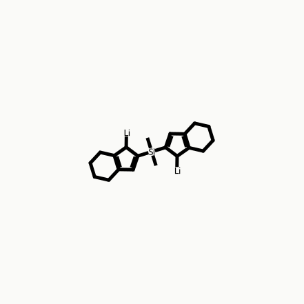 [Li][CH]1C([Si](C)(C)C2=CC3=C(CCCC3)[CH]2[Li])=CC2=C1CCCC2